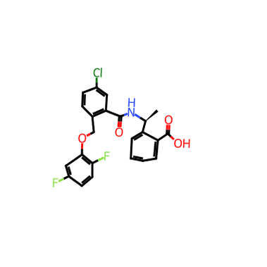 C[C@H](NC(=O)c1cc(Cl)ccc1COc1cc(F)ccc1F)c1ccccc1C(=O)O